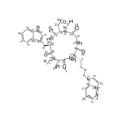 CC(C)C1C(=O)N[C@@H](CCCCn2cc[n+]3ncccc23)C(=O)NCC(=O)NC(CC(=O)O)C(=O)N[C@H](Cc2c[nH]c3ccccc23)C(=O)N1C